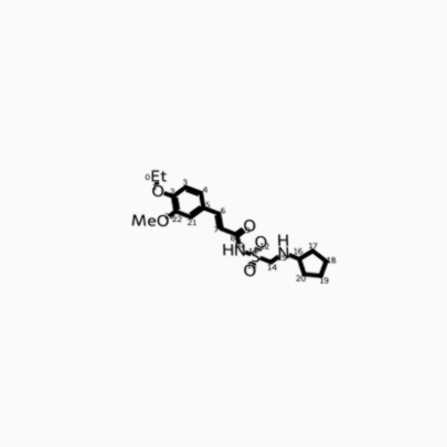 CCOc1ccc(C=CC(=O)NS(=O)(=O)CNC2CCCC2)cc1OC